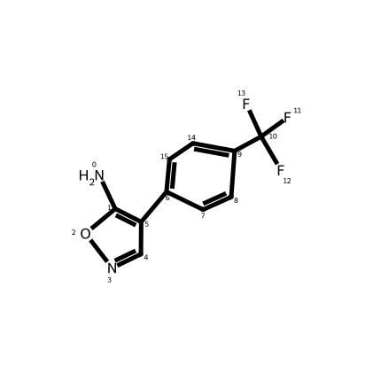 Nc1oncc1-c1ccc(C(F)(F)F)cc1